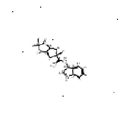 CC1(C)OC2CC(C)(C(=O)On3nnc4ccccc43)CC2O1